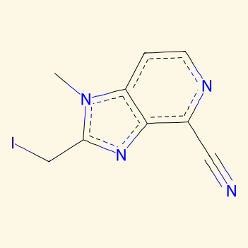 Cn1c(CI)nc2c(C#N)nccc21